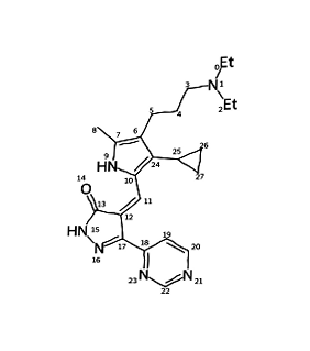 CCN(CC)CCCc1c(C)[nH]c(C=C2C(=O)NN=C2c2ccncn2)c1C1CC1